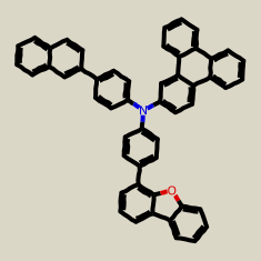 c1ccc2cc(-c3ccc(N(c4ccc(-c5cccc6c5oc5ccccc56)cc4)c4ccc5c6ccccc6c6ccccc6c5c4)cc3)ccc2c1